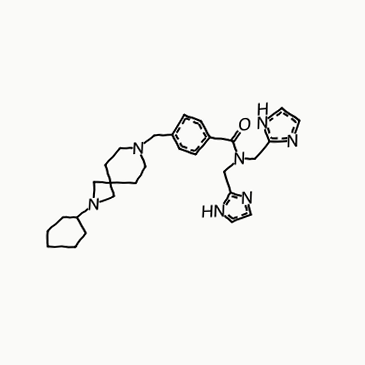 O=C(c1ccc(CN2CCC3(CC2)CN(C2CCCCC2)C3)cc1)N(Cc1ncc[nH]1)Cc1ncc[nH]1